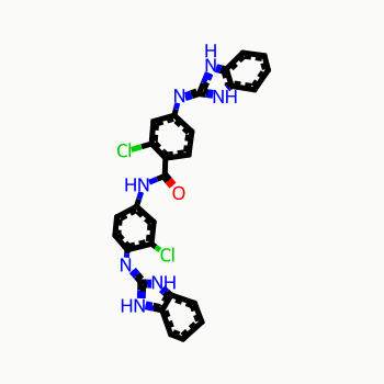 O=C(Nc1ccc(N=c2[nH]c3ccccc3[nH]2)c(Cl)c1)c1ccc(N=c2[nH]c3ccccc3[nH]2)cc1Cl